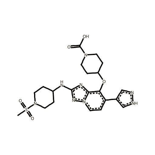 CS(=O)(=O)N1CCC(Nc2nc3c(OC4CCN(C(=O)O)CC4)c(-c4cn[nH]c4)ccn3n2)CC1